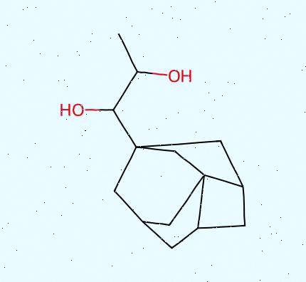 CC(O)C(O)C12CC3CC4CC(C1)C4(C3)C2